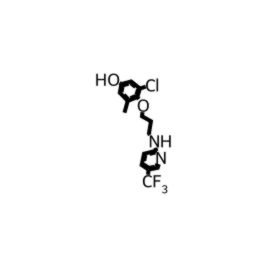 Cc1cc(O)cc(Cl)c1OCCCNc1ccc(C(F)(F)F)cn1